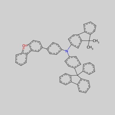 CC1(C)c2ccccc2-c2ccc(N(c3ccc(-c4ccc5oc6ccccc6c5c4)cc3)c3ccc(C4(c5ccccc5)c5ccccc5-c5ccccc54)cc3)cc21